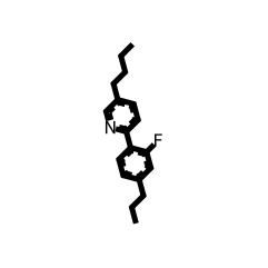 CCCCc1ccc(-c2ccc(CCC)cc2F)nc1